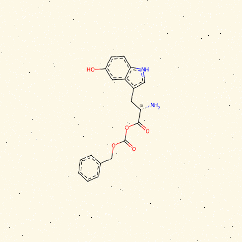 N[C@@H](Cc1c[nH]c2ccc(O)cc12)C(=O)OC(=O)OCc1ccccc1